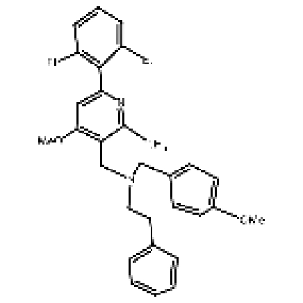 CCc1cccc(CC)c1-c1cc(OC)c(CN(CCc2ccccc2)Cc2ccc(OC)cc2)c(C)n1